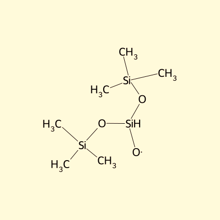 C[Si](C)(C)O[SiH]([O])O[Si](C)(C)C